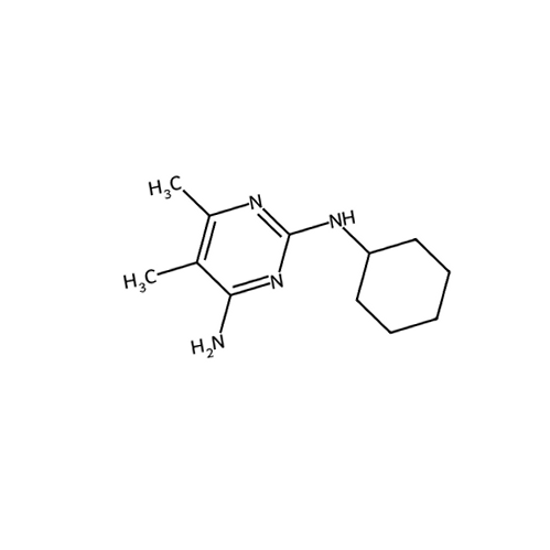 Cc1nc(NC2CCCCC2)nc(N)c1C